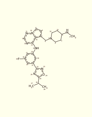 CNC1CCN(Cc2ccn3ncnc(Nc4cc(F)cc(-c5noc(C(C)C)n5)c4)c23)CC1